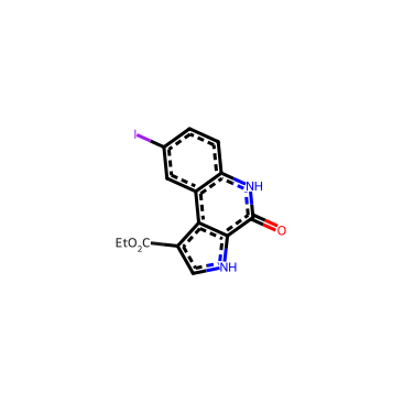 CCOC(=O)c1c[nH]c2c(=O)[nH]c3ccc(I)cc3c12